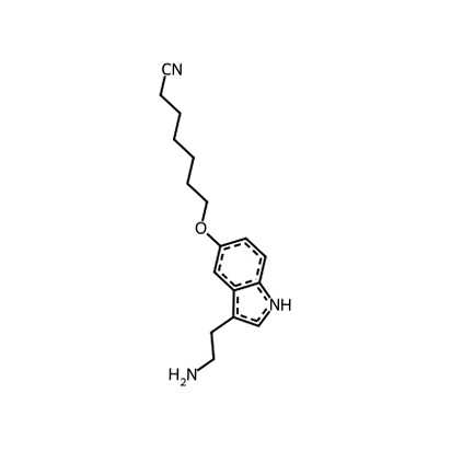 N#CCCCCCCOc1ccc2[nH]cc(CCN)c2c1